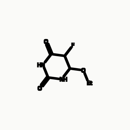 CCOC1NC(=O)NC(=O)C1F